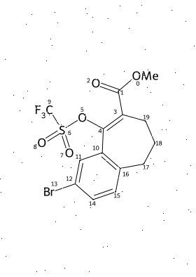 COC(=O)C1=C(OS(=O)(=O)C(F)(F)F)c2cc(Br)ccc2CCC1